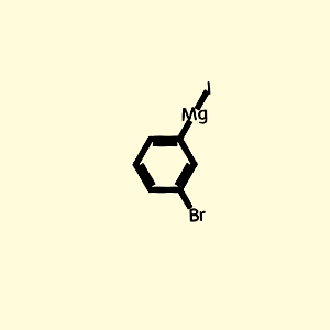 Brc1ccc[c]([Mg][I])c1